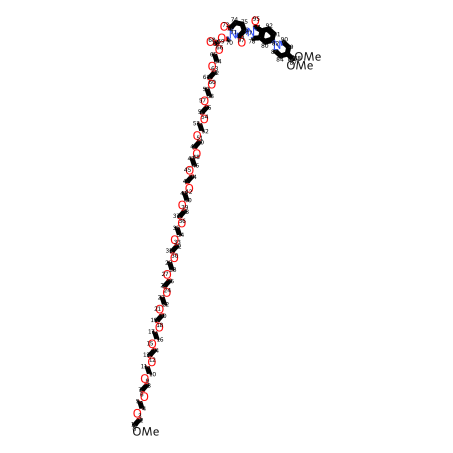 COCCOCCOCCOCCOCCOCCOCCOCCOCCOCCOCCOCCOCCOCCOCCOCCOCCOCCOCCOCCOCCOCCOC(=O)OCN1C(=O)CCC(N2Cc3cc(N4CCC(C(OC)OC)CC4)ccc3C2=O)C1=O